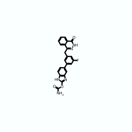 NC(=O)Oc1nc2cc(-c3cc(F)cc(Cc4n[nH]c(=O)c5ccccc45)c3)ccc2[nH]1